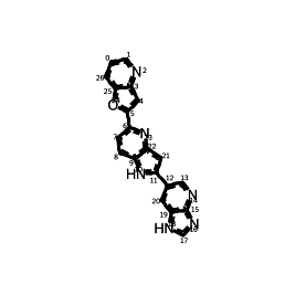 c1cnc2cc(-c3ccc4[nH]c(-c5cnc6nc[nH]c6c5)cc4n3)oc2c1